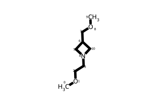 COCCN1CC(COC)C1